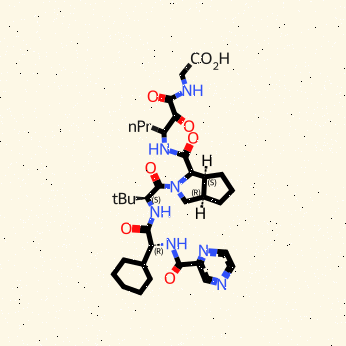 CCCC(NC(=O)C1[C@H]2CCC[C@H]2CN1C(=O)[C@@H](NC(=O)[C@H](NC(=O)c1cnccn1)C1CCCCC1)C(C)(C)C)C(=O)C(=O)NCC(=O)O